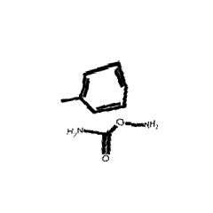 Cc1ccccc1.NOC(N)=O